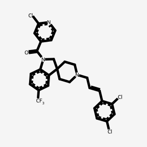 O=C(c1ccnc(Cl)c1)N1CC2(CCN(C/C=C/c3ccc(Cl)cc3Cl)CC2)c2cc(C(F)(F)F)ccc21